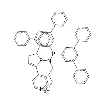 CCCCN(P(c1cc(-c2ccccc2)cc(-c2ccccc2)c1)c1cc(-c2ccccc2)cc(-c2ccccc2)c1)P1C(c2ccccc2)=CCC1c1ccccc1